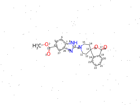 COC(=O)c1ccc2[nH]c(N3CCC4(CC3)OC(=O)c3ccccc34)nc2c1